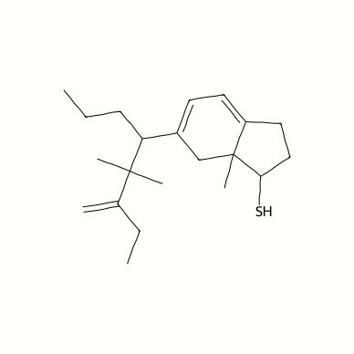 C=C(CC)C(C)(C)C(CCC)C1=CC=C2CCC(S)C2(C)C1